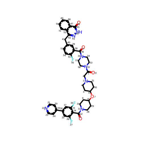 O=C(CN1CCC(OC2CCN(C(=O)c3c(F)cc(-c4ccncc4)cc3F)CC2)CC1)N1CCN(C(=O)c2cc(Cc3n[nH]c(=O)c4ccccc34)ccc2F)CC1